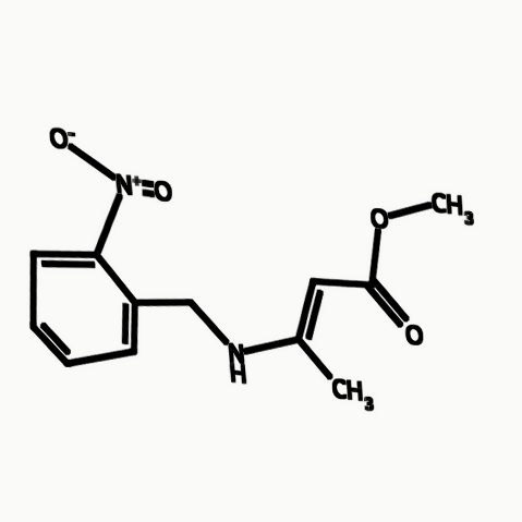 COC(=O)C=C(C)NCc1ccccc1[N+](=O)[O-]